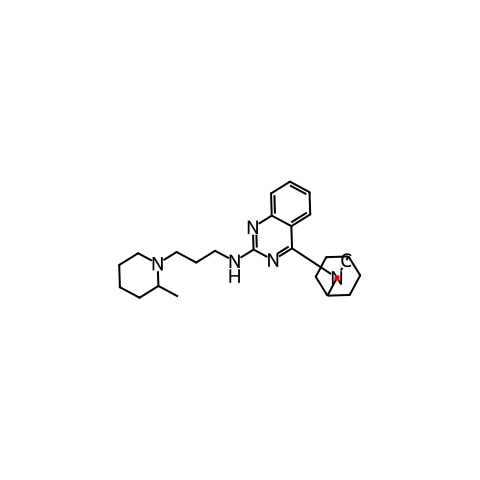 CC1CCCCN1CCCNc1nc(N2CC3CCC(CC3)C2)c2ccccc2n1